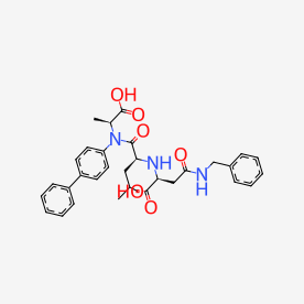 CC(C)C[C@H](N[C@@H](CC(=O)NCc1ccccc1)C(=O)O)C(=O)N(c1ccc(-c2ccccc2)cc1)[C@@H](C)C(=O)O